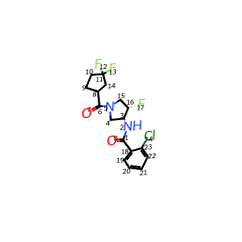 O=C(N[C@@H]1CN(C(=O)C2CCC(F)(F)C2)C[C@@H]1F)c1ccccc1Cl